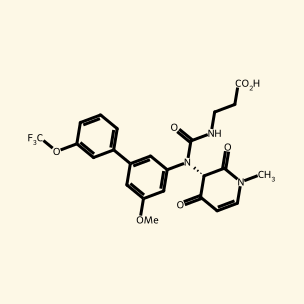 COc1cc(-c2cccc(OC(F)(F)F)c2)cc(N(C(=O)NCCC(=O)O)[C@H]2C(=O)C=CN(C)C2=O)c1